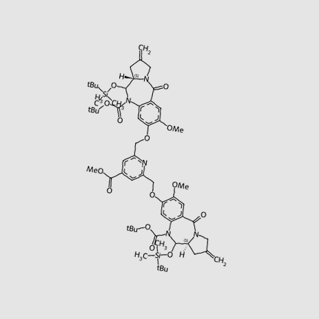 C=C1C[C@H]2C(O[Si](C)(C)C(C)(C)C)N(C(=O)OC(C)(C)C)c3cc(OCc4cc(C(=O)OC)cc(COc5cc6c(cc5OC)C(=O)N5CC(=C)C[C@H]5C(O[Si](C)(C)C(C)(C)C)N6C(=O)OC(C)(C)C)n4)c(OC)cc3C(=O)N2C1